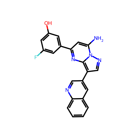 Nc1cc(-c2cc(O)cc(F)c2)nc2c(-c3cnc4ccccc4c3)cnn12